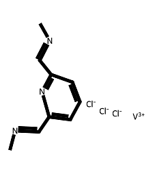 CN=Cc1cccc(C=NC)n1.[Cl-].[Cl-].[Cl-].[V+3]